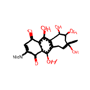 CNC1=CC(=O)c2c(O)c3c(c(O)c2C1=O)CC(C)(O)C(O)C3O